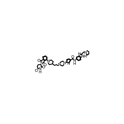 C[C@H]1CCCN1Cc1nc2cc(NC(=O)c3ccc(N4CCN(CCCC5CCN(c6cccc7c6C(=O)N(C6CCC(=O)NC6=O)C7=O)CC5)CC4)nc3)ccc2[nH]1